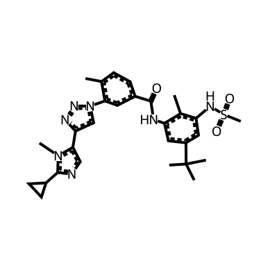 Cc1ccc(C(=O)Nc2cc(C(C)(C)C)cc(NS(C)(=O)=O)c2C)cc1-n1cc(-c2cnc(C3CC3)n2C)nn1